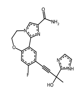 CC(O)(C#Cc1cc2c(cc1F)OCCn1cc(C(N)=O)nc1-2)c1ncc[nH]1